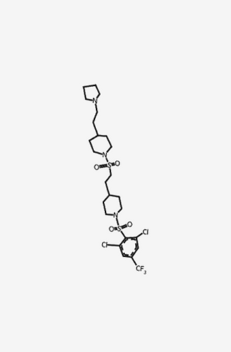 O=S(=O)(CCC1CCN(S(=O)(=O)c2c(Cl)cc(C(F)(F)F)cc2Cl)CC1)N1CCC(CCN2CCCC2)CC1